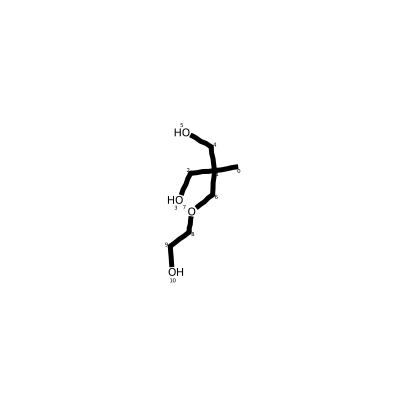 CC(CO)(CO)COCCO